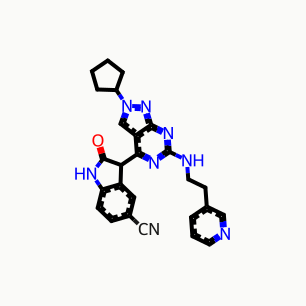 N#Cc1ccc2c(c1)C(c1nc(NCCc3cccnc3)nc3nn(C4CCCC4)cc13)C(=O)N2